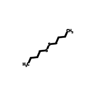 CCC[CH]SS[CH]CCC